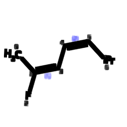 C/C(F)=C\C=C/C(C)C